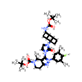 Cc1cc(-n2nc3c(c2-n2ccn(C45C6C7C4C4C5C6C74NC(=O)OC(C)(C)C)c2=O)[C@H](C)N(C(=O)OC(C)(C)C)CC3)cc(C)c1F